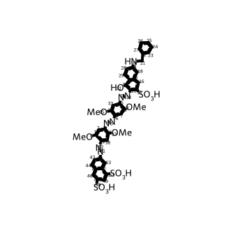 COc1cc(N=Nc2cc(OC)c(N=Nc3c(S(=O)(=O)O)cc4cc(NCc5ccccc5)ccc4c3O)cc2OC)c(OC)cc1N=Nc1ccc2cc(S(=O)(=O)O)cc(S(=O)(=O)O)c2c1